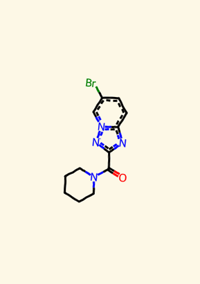 O=C(c1nc2ccc(Br)cn2n1)N1CCCCC1